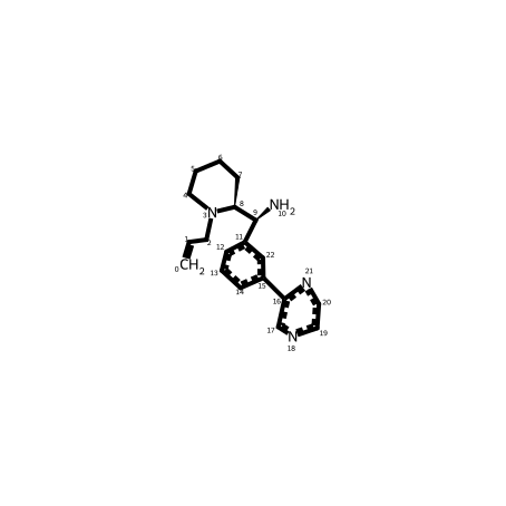 C=CCN1CCCC[C@H]1[C@@H](N)c1cccc(-c2cnccn2)c1